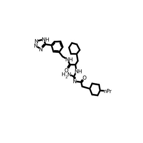 CCCC1CCC(CC(=O)N=C(N)NC(CC2CCCCC2)C(=O)NCc2cccc(-c3nnn[nH]3)c2)CC1